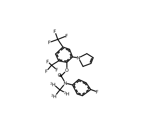 [2H]C([2H])([2H])N(C(=O)Oc1c(N2CC=CC2)cc(C(F)(F)F)cc1C(F)(F)F)c1ccc(F)cc1